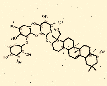 C[C@@H]1OC(O[C@H]2C(O[C@H]3C(O[C@H]4CC[C@@]5(C)C(CC[C@]6(C)C5CC=C5C7CC(C)(C)C[C@@H](O)[C@]7(C)CC[C@]56C)[C@@]4(C)CO)O[C@H](C(=O)O)[C@@H](O)[C@@H]3O)OC[C@H](O)[C@@H]2O)[C@H](O)[C@H](O)[C@H]1O